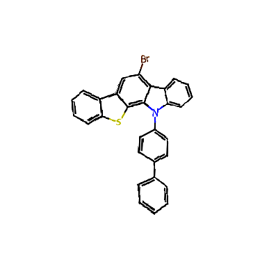 Brc1cc2c3ccccc3sc2c2c1c1ccccc1n2-c1ccc(-c2ccccc2)cc1